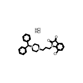 Cl.Cl.O=C1C(=O)N(CCCN2CCN(C(c3ccccc3)c3ccccc3)CC2)c2c(Cl)cccc21